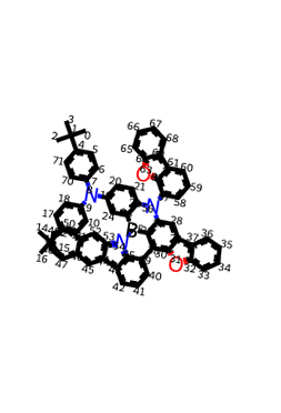 CC(C)(C)c1ccc(N(c2ccc(C(C)(C)C)cc2)c2ccc3c(c2)B2c4c(cc5c(oc6ccccc65)c4-c4cccc5c6cc7ccccc7cc6n2c45)N3c2cccc3c2oc2ccccc23)cc1